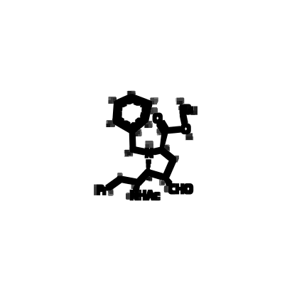 CC(=O)N[C@@H](CC(C)C)[C@H]1[C@H](C=O)C[C@H](C(=O)OC(C)(C)C)N1Cc1ccccc1